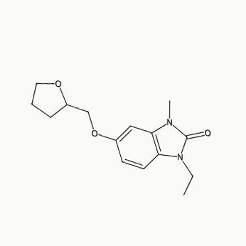 CCn1c(=O)n(C)c2cc(OCC3CCCO3)ccc21